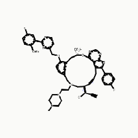 C#C/C(Cl)=C1\C=C/Cc2c(-c3ccc(F)cc3)sc3ncnc(c23)O[C@@H](C(=O)O)Cc2cc(ccc2OCc2ccnc(-c3cc(F)ccc3OC)n2)CN(CCN2CCN(C)CC2)C1